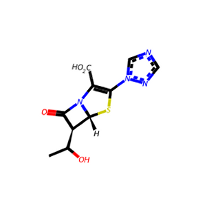 CC(O)[C@H]1C(=O)N2C(C(=O)O)=C(n3cncn3)S[C@H]12